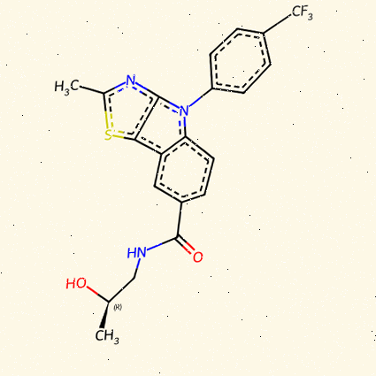 Cc1nc2c(s1)c1cc(C(=O)NC[C@@H](C)O)ccc1n2-c1ccc(C(F)(F)F)cc1